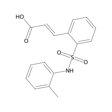 Cc1ccccc1NS(=O)(=O)c1ccccc1C=CC(=O)O